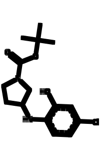 CC(C)(C)OC(=O)N1CCC(Nc2ccc(Cl)cc2O)C1